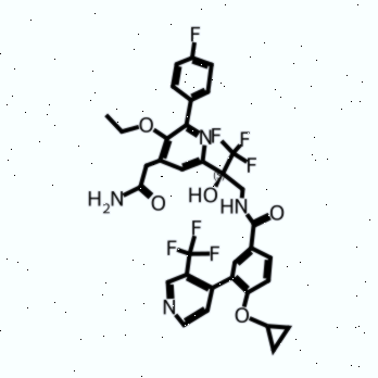 CCOc1c(CC(N)=O)cc([C@@](O)(CNC(=O)c2ccc(OC3CC3)c(-c3ccncc3C(F)(F)F)c2)C(F)(F)F)nc1-c1ccc(F)cc1